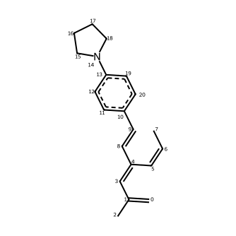 C=C(C)/C=C(\C=C/C)/C=C/c1ccc(N2CCCC2)cc1